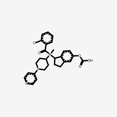 C[N+](C(=O)c1ccccc1Cl)(C1CCN(c2ccncc2)CC1)C1CCc2cc(OC(=O)O)ccc21